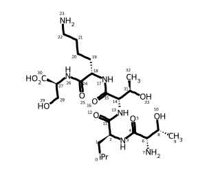 CC(C)C[C@H](NC(=O)[C@@H](N)[C@@H](C)O)C(=O)N[C@H](C(=O)N[C@@H](CCCCN)C(=O)N[C@@H](CO)C(=O)O)[C@@H](C)O